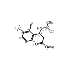 COC(=O)C[C@H](N[S+]([O-])C(C)(C)C)c1cccc(C(F)(F)F)c1F